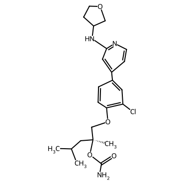 CC(C)C[C@@](C)(COc1ccc(-c2ccnc(NC3CCOC3)c2)cc1Cl)OC(N)=O